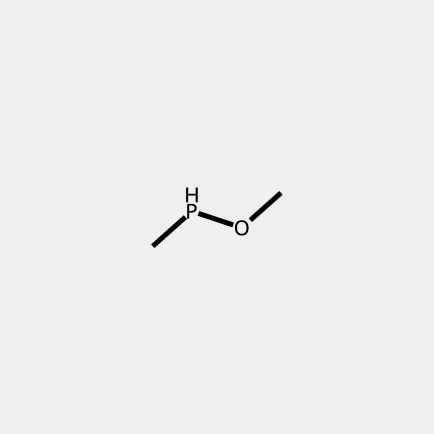 COPC